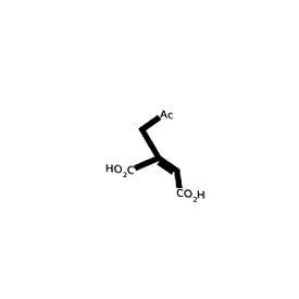 CC(=O)C/C(=C/C(=O)O)C(=O)O